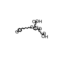 COc1ccc(/C=C/CCCCOc2ccc(C(=O)CCCC(=O)O)nc2CCC(=O)O)cc1